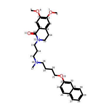 COc1cc2c(cc1OC)C(=O)N(CCCN(C)CCCCOc1ccc3ccccc3c1)CC2